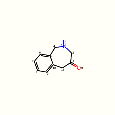 O=C1CNCc2ccccc2C1